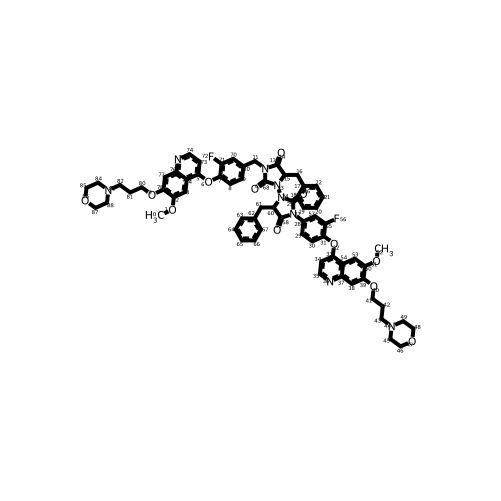 COc1cc2c(Oc3ccc(CN4C(=O)C(Cc5ccccc5)N(N5C(=O)N(c6ccc(Oc7ccnc8cc(OCCCN9CCOCC9)c(OC)cc78)c(F)c6)C(=O)C5Cc5ccccc5)C4=O)cc3F)ccnc2cc1OCCCN1CCOCC1